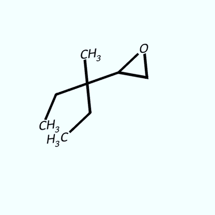 CCC(C)(CC)C1CO1